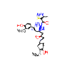 COc1cc(/C=C/C(=O)CC(/C=C/c2ccc(O)c(OC)c2)=N/NC(=O)c2snnc2C)ccc1O